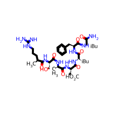 CC[C@H](C)[C@H](NC(=O)[C@H](Cc1ccccc1)NC(=O)[C@@H](NC(=O)[C@H](CC(=O)O)NC(=O)[C@H](C)NC(=O)[C@H](CO)NC(=O)[C@@H](C)CCCNC(=N)N)[C@@H](C)CC)C(N)=O